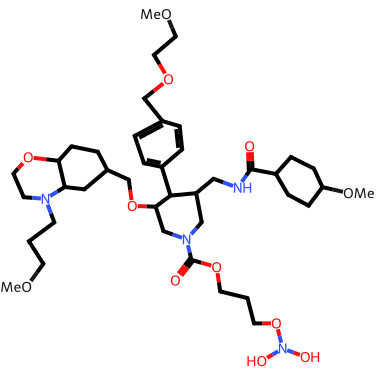 COCCCN1CCOC2CCC(COC3CN(C(=O)OCCCON(O)O)CC(CNC(=O)C4CCC(OC)CC4)C3c3ccc(COCCOC)cc3)CC21